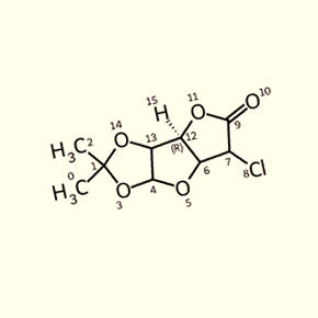 CC1(C)OC2OC3C(Cl)C(=O)O[C@@H]3C2O1